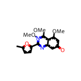 COc1cc(=O)cc2nc(-c3ccc(C)o3)n(OC)c(OC)c1-2